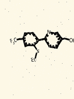 CCSc1cc(C(F)(F)F)ccc1-c1ccc(O)cn1